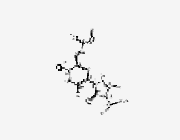 COC(=O)C=Cc1cc(-n2nc(C)n(C(F)F)c2=O)c(Cl)cc1Cl